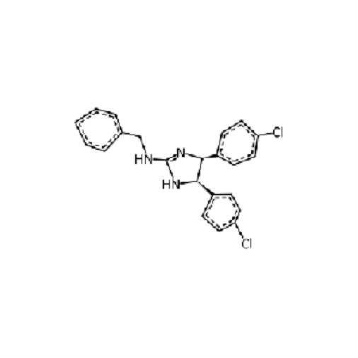 Clc1ccc([C@H]2NC(NCc3ccccc3)=N[C@H]2c2ccc(Cl)cc2)cc1